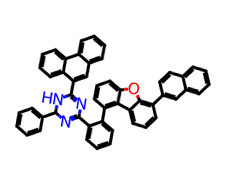 c1ccc(C2N=C(c3ccccc3-c3cccc4oc5c(-c6ccc7ccccc7c6)cccc5c34)N=C(c3cc4ccccc4c4ccccc34)N2)cc1